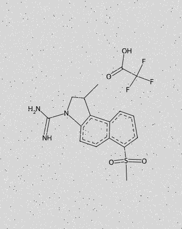 CC1CN(C(=N)N)c2ccc3c(S(C)(=O)=O)cccc3c21.O=C(O)C(F)(F)F